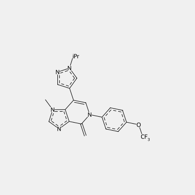 C=C1c2ncn(C)c2C(c2cnn(C(C)C)c2)=CN1c1ccc(OC(F)(F)F)cc1